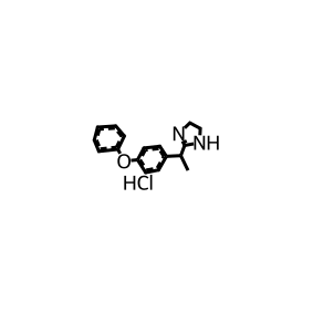 CC(C1=NCCN1)c1ccc(Oc2ccccc2)cc1.Cl